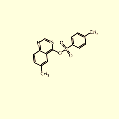 Cc1ccc(S(=O)(=O)Oc2ncnc3ccc(C)cc23)cc1